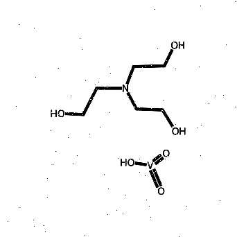 OCCN(CCO)CCO.[O]=[V](=[O])[OH]